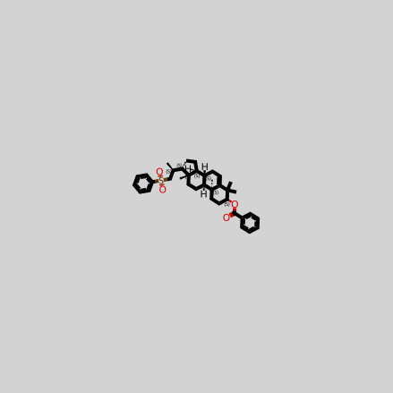 C[C@H](CS(=O)(=O)c1ccccc1)[C@@H]1CC[C@H]2[C@@H]3CC=C4C(C)(C)[C@@H](OC(=O)c5ccccc5)CC[C@@]4(C)[C@H]3CC[C@@]21C